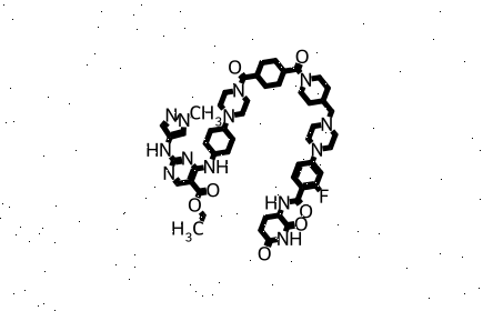 CCOC(=O)c1cnc(Nc2cnn(C)c2)nc1NC1CCC(N2CCN(C(=O)C3CCC(C(=O)N4CCC(CN5CCN(c6ccc(C(=O)NC7CCC(=O)NC7=O)c(F)c6)CC5)CC4)CC3)CC2)CC1